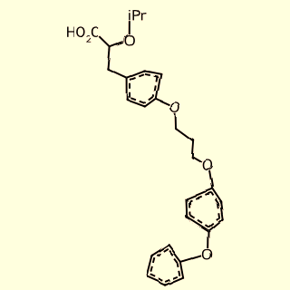 CC(C)OC(Cc1ccc(OCCCOc2ccc(Oc3ccccc3)cc2)cc1)C(=O)O